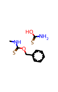 CNC(=S)OCc1ccccc1.NC(O)=S